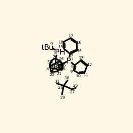 CC(C)(C)P[C]12[CH]3[CH]4[CH]5[C]1(P(c1ccccc1)c1ccccc1)[Fe]43521678[CH]2[CH]1[CH]6[CH]7[CH]28.CCC(C)(C)C